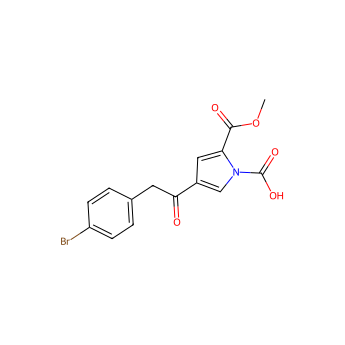 COC(=O)c1cc(C(=O)Cc2ccc(Br)cc2)cn1C(=O)O